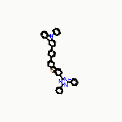 c1ccc(C2=NC(c3ccccc3)NC(c3ccc4c(c3)sc3ccc(-c5ccc(-c6ccc7c(c6)c6ccccc6n7-c6ccccc6)cc5)cc34)=N2)cc1